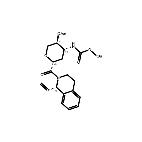 C=C[C@H]1c2ccccc2CCN1C(=O)[C@H]1C[C@@H](NC(=O)OC(C)(C)C)[C@H](OC)CO1